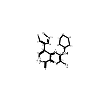 C=C(N)C(=C)C(=N\C(NC1CCCCC1)=C(/C)CC)/C(=C\C)C(=CC)/C=N\C